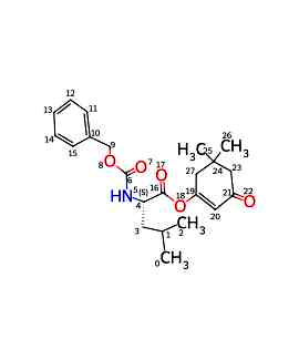 CC(C)C[C@H](NC(=O)OCc1ccccc1)C(=O)OC1=CC(=O)CC(C)(C)C1